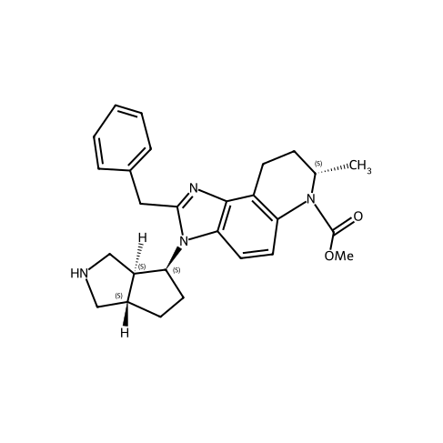 COC(=O)N1c2ccc3c(nc(Cc4ccccc4)n3[C@H]3CC[C@@H]4CNC[C@H]43)c2CC[C@@H]1C